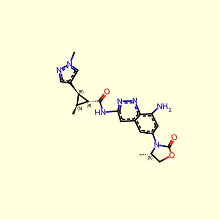 C[C@@H]1[C@@H](C(=O)Nc2cc3cc(N4C(=O)OC[C@@H]4C)cc(N)c3nn2)[C@@H]1c1cnn(C)c1